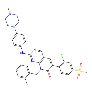 Cc1ccccc1Cn1c(=O)c(-c2ccc(S(C)(=O)=O)cc2Cl)cc2cnc(Nc3ccc(N4CCN(C)CC4)cc3)nc21